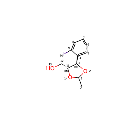 CC1O[C@H](c2ccccc2I)[C@@H](CO)O1